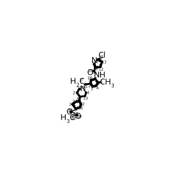 C=C(c1ccc(C)c(NC(=O)c2ccc(Cl)nc2)c1)N1CCC(c2ccc(S(C)(=O)=O)cc2)CC1